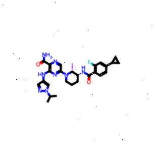 CC(C)n1cc(Nc2nc(N3CCC[C@@H](NC(=O)c4ccc(C5CC5)cc4F)[C@H]3I)cnc2C(N)=O)cn1